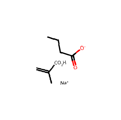 C=C(C)C(=O)O.CCCC(=O)[O-].[Na+]